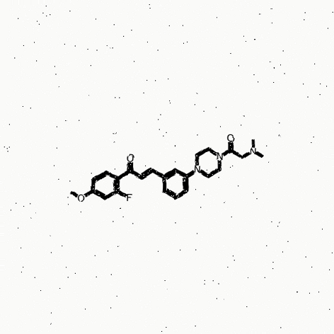 COc1ccc(C(=O)C=Cc2cccc(N3CCN(C(=O)CN(C)C)CC3)c2)c(F)c1